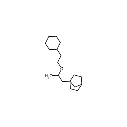 CC(CC12CCC(CC1)C2)OCCC1CCCCC1